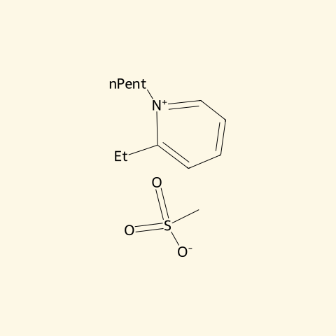 CCCCC[n+]1ccccc1CC.CS(=O)(=O)[O-]